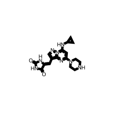 O=C1NC(=O)C(=Cc2cnn3c(NC4CC4)cc(N4CCNCC4)nc23)N1